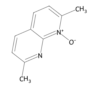 Cc1ccc2ccc(C)[n+]([O-])c2n1